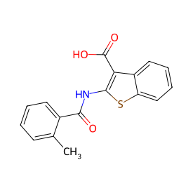 Cc1ccccc1C(=O)Nc1sc2ccccc2c1C(=O)O